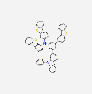 c1ccc(-n2c3ccccc3c3ccc(-c4cc(-c5ccc6sc7ccccc7c6c5)cc(N(c5ccc6c(c5)sc5ccccc56)c5cccc6c5sc5ccccc56)c4)cc32)cc1